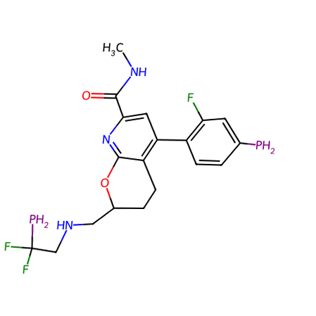 CNC(=O)c1cc(-c2ccc(P)cc2F)c2c(n1)OC(CNCC(F)(F)P)CC2